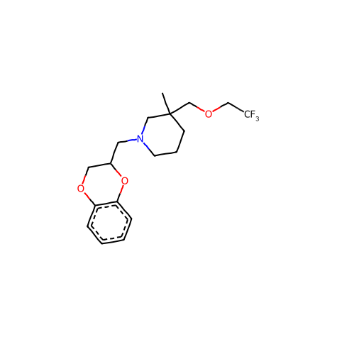 CC1(COCC(F)(F)F)CCCN(CC2COc3ccccc3O2)C1